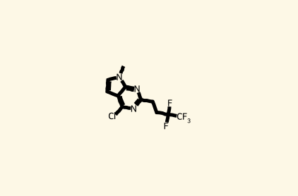 Cn1ccc2c(Cl)nc(CCC(F)(F)C(F)(F)F)nc21